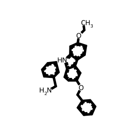 CCOc1ccc2c(c1)[nH]c1ccc(OCc3ccccc3)cc12.NCc1ccccc1